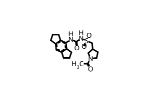 CC(=O)N1CCC(CS(=O)(=O)NC(=O)Nc2c3c(cc4c2CCC4)CCC3)C1